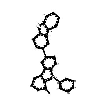 Cc1cccc2c3cc(-c4ccc5oc6ccccc6c5c4)ccc3n(-c3ccccc3)c12